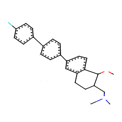 COC1c2ccc(-c3ccc(-c4ccc(F)cc4)cc3)cc2CCC1CN(C)C.Cl